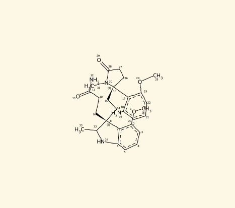 COc1cccc2c1[C@@](CCC(N)=O)(CC[C@]1(c3c(N)cccc3OC)CCC(=O)N1C)C(C)N2